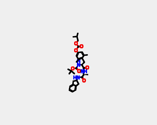 Cc1cc(OC(=O)OCC(C)C)cc(C)c1C[C@H](NC(=O)OC(C)(C)C)C(=O)N[C@H](C)C(=O)NC1Cc2ccccc2C1